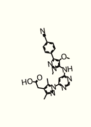 COc1c(-c2ccc(C#N)cc2)nn(C)c1Nc1cc(-n2nc(C)c(CC(=O)O)c2C)ncn1